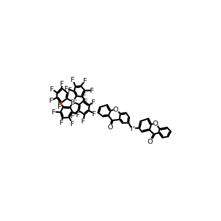 Fc1c(F)c(F)c([B-](c2c(F)c(F)c(F)c(F)c2F)(c2c(F)c(F)c(F)c(F)c2F)c2c(F)c(F)c(F)c(F)c2F)c(F)c1F.O=c1c2ccccc2oc2ccc([I+]c3ccc4oc5ccccc5c(=O)c4c3)cc12